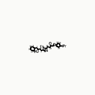 CCn1c(CCC(=O)Cc2ccccc2F)cnc1CCC(=O)COc1ccc(C(C)C)cc1